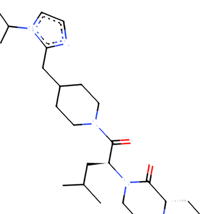 CC(C)C[C@@H]1NCCN([C@@H](CC(C)C)C(=O)N2CCC(Cc3nccn3C(C)C)CC2)C1=O